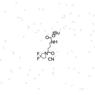 CC(C)(C)OC(=O)NCCCC(=O)N1CC(F)(F)C[C@H]1C#N